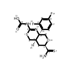 NC(=S)[C@H]1C[C@H]2CSC(NC(=O)O)=N[C@@]2(c2ccc(F)cc2F)CO1